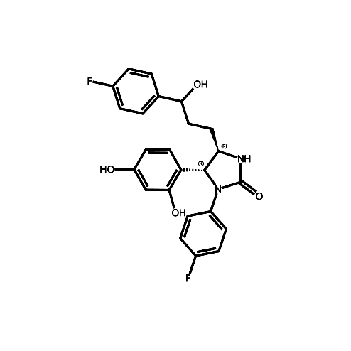 O=C1N[C@H](CCC(O)c2ccc(F)cc2)[C@@H](c2ccc(O)cc2O)N1c1ccc(F)cc1